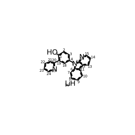 Oc1ccc(-n2c3ccccc3c3cccnc32)cc1-c1ccccn1.[LiH]